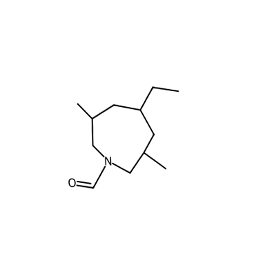 CCC1CC(C)CN(C=O)CC(C)C1